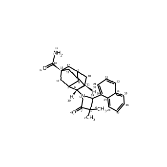 CC1(C)C(=O)N([C@@H]2C3CC4C[C@H]2C[C@@](C(N)=O)(C4)C3)C1c1cccc2ccccc12